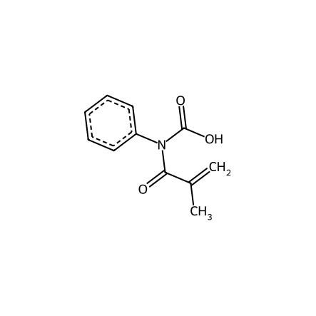 C=C(C)C(=O)N(C(=O)O)c1ccccc1